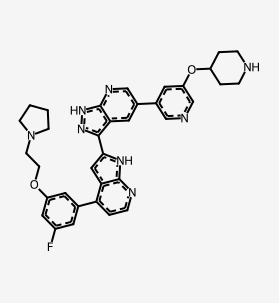 Fc1cc(OCCN2CCCC2)cc(-c2ccnc3[nH]c(-c4n[nH]c5ncc(-c6cncc(OC7CCNCC7)c6)cc45)cc23)c1